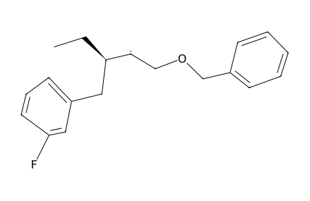 CC[C@@H]([CH]COCc1ccccc1)Cc1cccc(F)c1